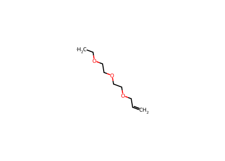 [CH2]COCCOCCOCC=C